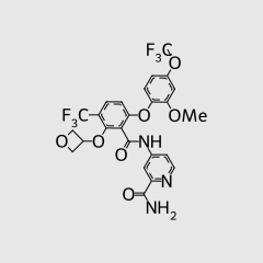 COc1cc(OC(F)(F)F)ccc1Oc1ccc(C(F)(F)F)c(OC2COC2)c1C(=O)Nc1ccnc(C(N)=O)c1